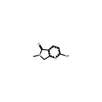 CN1Cc2nc(O)ccc2C1=O